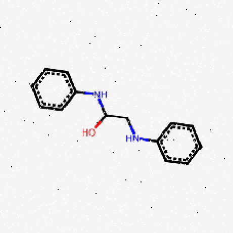 OC(CNc1ccccc1)Nc1ccccc1